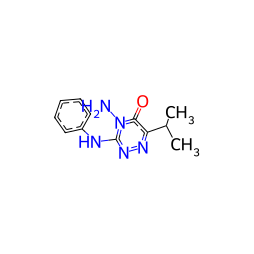 CC(C)c1nnc(Nc2ccccc2)n(N)c1=O